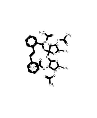 CC(=O)O[C@H]1[C@H](C)OC(OC2(OC(=O)c3ccccc3C=Cc3ccccc3)O[C@H](C)[C@@H](OC(C)=O)[C@H]2OC(C)=O)[C@H]1OC(C)=O